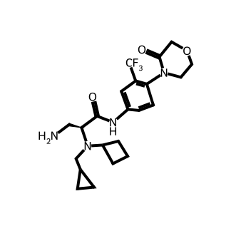 NC[C@@H](C(=O)Nc1ccc(N2CCOCC2=O)c(C(F)(F)F)c1)N(CC1CC1)C1CCC1